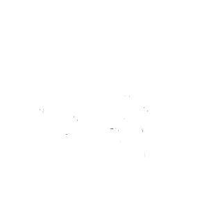 Cc1c(C(=O)N[C@@H](CC(C)C)C(=O)N[C@H]2CC[C@@H](C)N(S(=O)(=O)c3cccc[n+]3[O-])C[C@@H]2O)oc2ccccc12